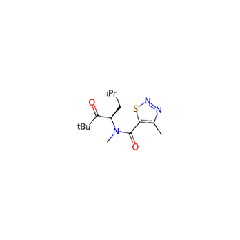 Cc1nnsc1C(=O)N(C)[C@H](CC(C)C)C(=O)C(C)(C)C